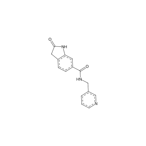 O=C1Cc2ccc(C(=O)NCc3cccnc3)cc2N1